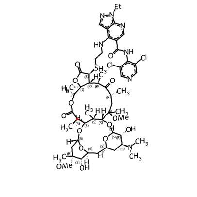 CCn1ncc2c(NCCS[C@@H]3C(=O)O[C@@]4(C)[C@H]3[C@@H](C)C(=O)[C@H](C)C[C@@](C)(OC)[C@@H]3O[C@@H]5O[C@H](C[C@@H]6O[C@H](C[C@@](C)(OC)[C@H]6O)O[C@@H]([C@@H]3C)[C@@H](C)C(=O)O[C@@H]4I)C[C@H](N(C)C)[C@H]5O)c(C(=O)Nc3c(Cl)cncc3Cl)cnc21